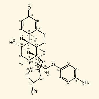 CCC[C@@H]1O[C@@H]2C[C@H]3[C@@H]4CCC5=CC(=O)C=C[C@]5(C)[C@H]4[C@@H](O)C[C@]3(C)[C@]2(C(=O)COc2ccc(N)cc2)O1